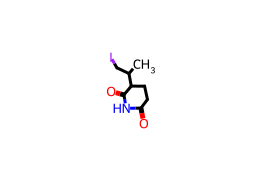 CC(CI)C1CCC(=O)NC1=O